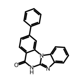 O=c1[nH]c2nc3ccccc3n2c2cc(-c3ccccc3)ccc12